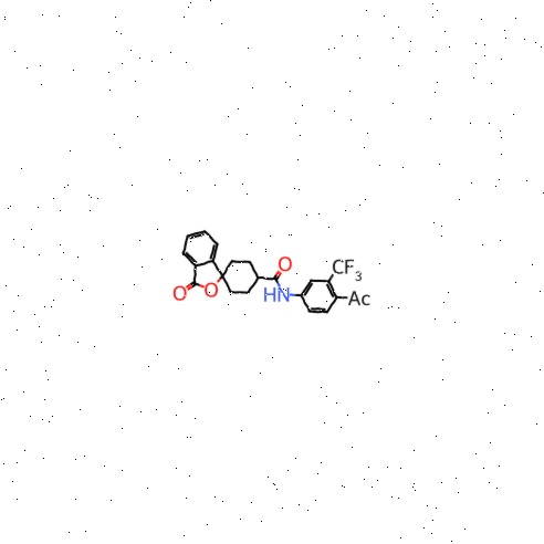 CC(=O)c1ccc(NC(=O)C2CCC3(CC2)OC(=O)c2ccccc23)cc1C(F)(F)F